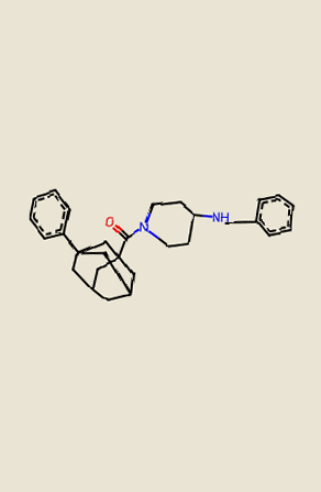 O=C(N1CCC(NCc2ccccc2)CC1)C12CC3CC(C1)CC(c1ccccc1)(C3)C2